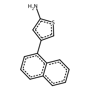 Nc1cc(-c2cccc3ccccc23)cs1